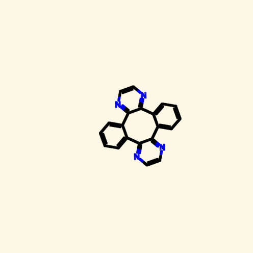 c1ccc2c(c1)-c1nccnc1-c1ccccc1-c1nccnc1-2